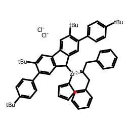 CC(C)(C)c1ccc(-c2cc3c(cc2C(C)(C)C)-c2cc(C(C)(C)C)c(-c4ccc(C(C)(C)C)cc4)cc2[CH]3[Zr+2]([C]2=CC=CC2)=[C](Cc2ccccc2)Cc2ccccc2)cc1.[Cl-].[Cl-]